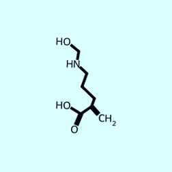 C=C(CCCNCO)C(=O)O